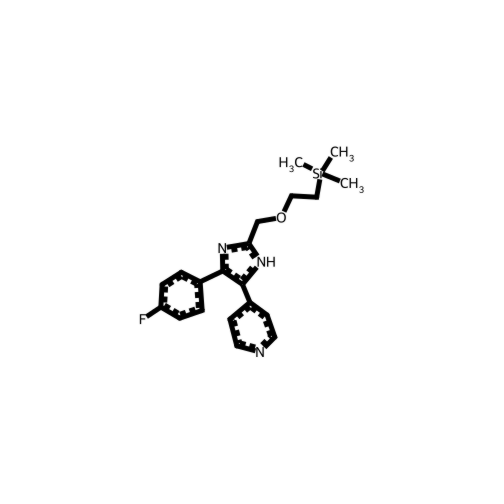 C[Si](C)(C)CCOCc1nc(-c2ccc(F)cc2)c(-c2ccncc2)[nH]1